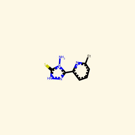 CCc1cccc(-c2n[nH]c(=S)n2N)n1